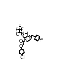 O=C(COc1ccc(Cl)cc1)N1CCN(Cc2ccc(F)cc2)CC1CNC(=O)C(F)(F)F